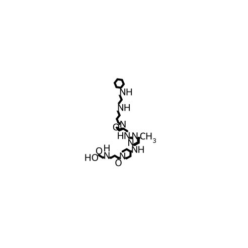 Cc1cc(NC2CCN(C(=O)CCNCC(=O)O)CC2)nc(NCc2coc(CCCNCCCNC3CCCCC3)n2)n1